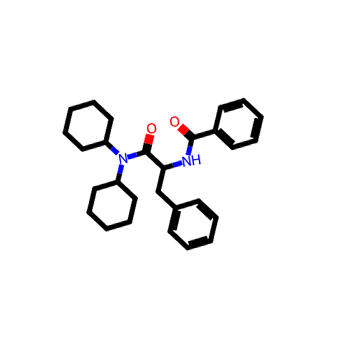 O=C(NC(Cc1ccccc1)C(=O)N(C1CCCCC1)C1CCCCC1)c1ccccc1